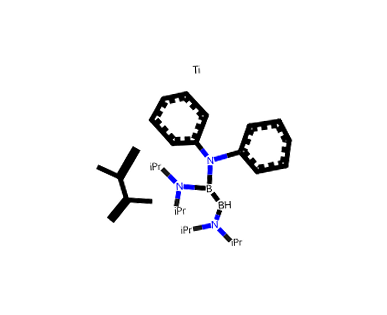 C=C(C)C(=C)C.CC(C)N(BB(N(c1ccccc1)c1ccccc1)N(C(C)C)C(C)C)C(C)C.[Ti]